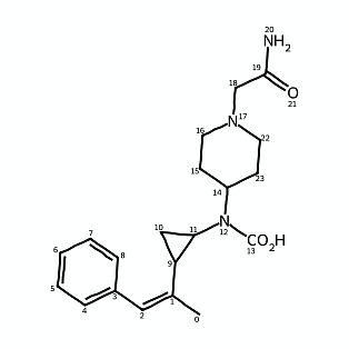 CC(=Cc1ccccc1)C1CC1N(C(=O)O)C1CCN(CC(N)=O)CC1